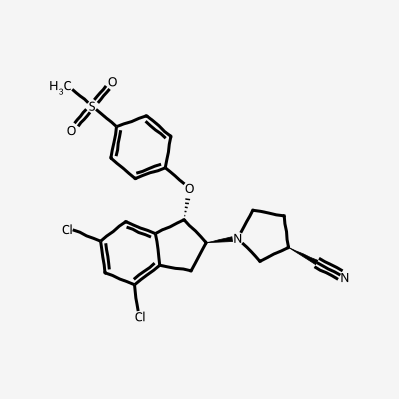 CS(=O)(=O)c1ccc(O[C@H]2c3cc(Cl)cc(Cl)c3C[C@@H]2N2CC[C@@H](C#N)C2)cc1